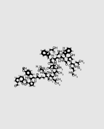 CCCC(C)(NC(=O)[C@H](Cc1cn(CC(=O)O)c2ccccc12)NC(=O)[C@H](CCN)NC(=O)[C@H](Cc1c[nH]c2ccccc12)NC(=O)[C@@H]1C[C@@H](O)CN1C(=O)[C@H](CC(C)C)NC(=O)CNC)C(=O)N(C)C(C)C(=O)N[C@@H](CC(C)C)C(=O)N(C)[C@@H](CSCC(=O)N[C@@H](Cc1ccc(OC)cc1)C(=O)N1CCC[C@H]1C(=O)N[C@@H]1CCC2CC[C@H](C=O)N2C1=O)C(=O)NCC(N)=O